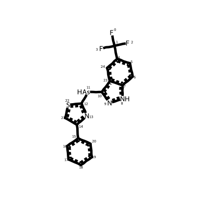 FC(F)(F)c1ccc2[nH]nc([AsH]c3nc(-c4ccccc4)cs3)c2c1